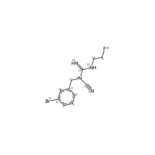 N#CN(Cc1cccc(Br)c1)C(=N)NCCF